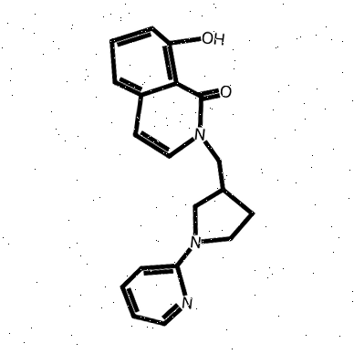 O=c1c2c(O)cccc2ccn1CC1CCN(c2ccccn2)C1